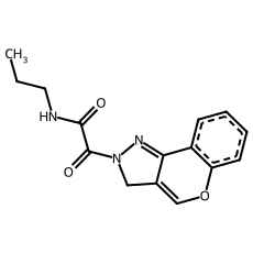 CCCNC(=O)C(=O)N1CC2=COc3ccccc3C2=N1